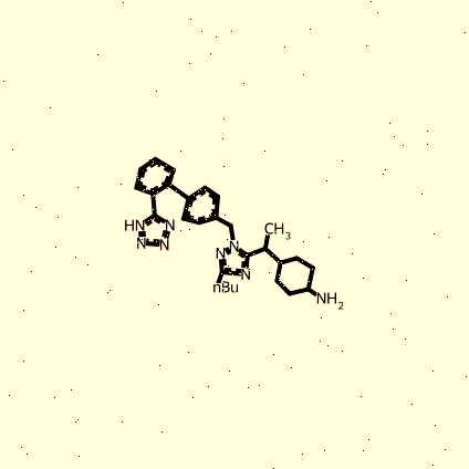 CCCCc1nc(C(C)C2CCC(N)CC2)n(Cc2ccc(-c3ccccc3-c3nnn[nH]3)cc2)n1